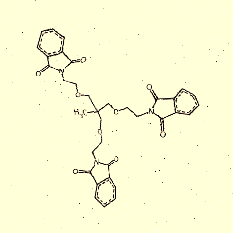 CC(COCCN1C(=O)c2ccccc2C1=O)(COCCN1C(=O)c2ccccc2C1=O)COCCN1C(=O)c2ccccc2C1=O